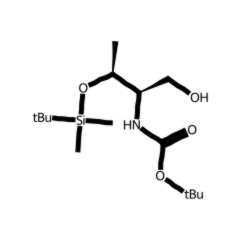 C[C@H](O[Si](C)(C)C(C)(C)C)[C@@H](CO)NC(=O)OC(C)(C)C